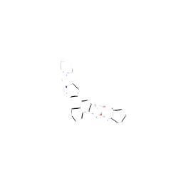 COc1ccccc1NC(=O)Nc1ccc(-c2ccc(CN3CCOCC3)nc2)c2ccccc12